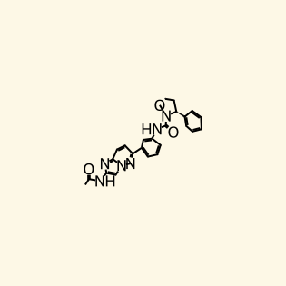 CC(=O)Nc1cn2nc(-c3cccc(NC(=O)N4OCC[C@H]4c4ccccc4)c3)ccc2n1